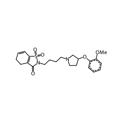 COc1ccccc1OC1CCN(CCCCN2C(=O)C3=C(C=CCC3)S2(=O)=O)C1